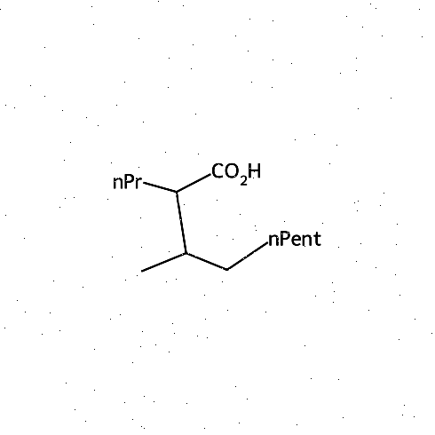 CCCCCCC(C)C(CCC)C(=O)O